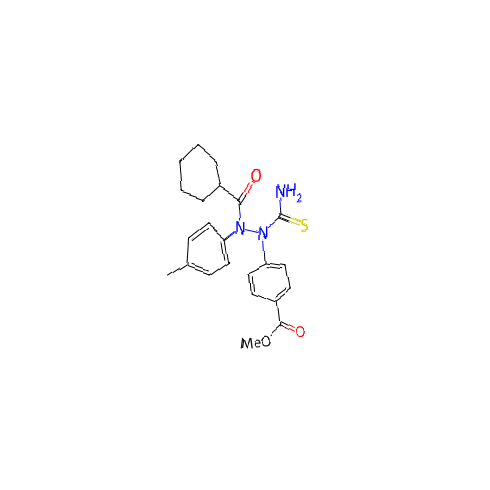 COC(=O)c1ccc(N(C(N)=S)N(C(=O)C2CCCCC2)c2ccc(C)cc2)cc1